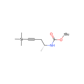 C[C@H](CC#C[Si](C)(C)C)NC(=O)OC(C)(C)C